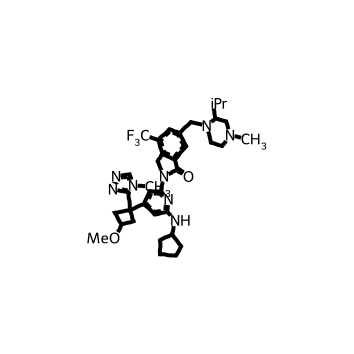 COC1CC(c2cc(NC3CCCC3)nc(N3Cc4c(cc(CN5CCN(C)CC5C(C)C)cc4C(F)(F)F)C3=O)c2)(c2nncn2C)C1